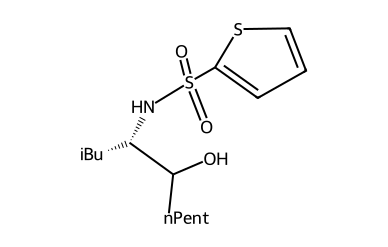 CCCCCC(O)[C@@H](NS(=O)(=O)c1cccs1)[C@@H](C)CC